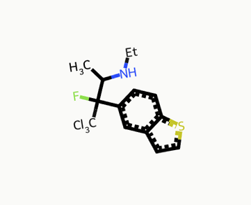 CCNC(C)C(F)(c1ccc2sccc2c1)C(Cl)(Cl)Cl